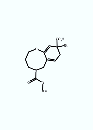 CCC1(C(=O)O)C=C2OCCCN(C(=O)OC(C)(C)C)CC2=CC1